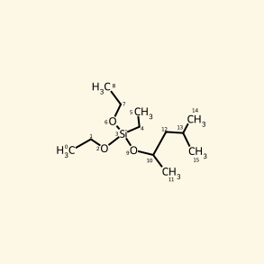 CCO[Si](CC)(OCC)OC(C)CC(C)C